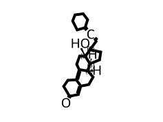 C[C@]12CCC3=C4CCC(=O)C=C4CC[C@H]3[C@@H]1CC[C@@]2(O)C=C=C1CCCCC1